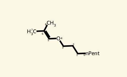 CCCCCCCCOC=C(C)C